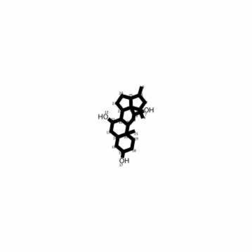 CC1CC(C)C23C(O)CC4C(C(O)CC5CC(O)CCC54C)C2CCC13